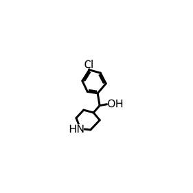 OC(c1ccc(Cl)cc1)C1CCNCC1